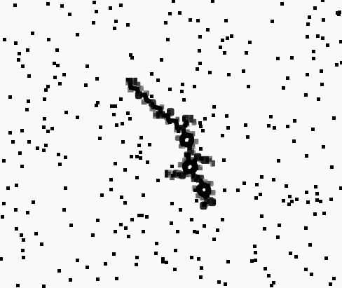 CCN(CCCC(=O)NCCOCCOCCN)c1ccc(N=Nc2cc(OC)c(N=Nc3ccc([N+](=O)[O-])cc3)cc2OC)cc1